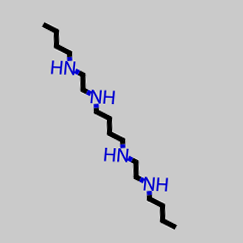 CCCCNCCNCCCCNCCNCCCC